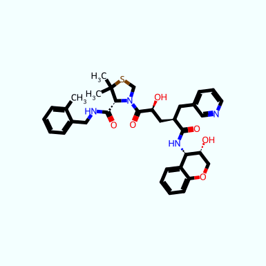 Cc1ccccc1CNC(=O)[C@H]1N(C(=O)[C@@H](O)C[C@@H](Cc2cccnc2)C(=O)N[C@H]2c3ccccc3OC[C@H]2O)CSC1(C)C